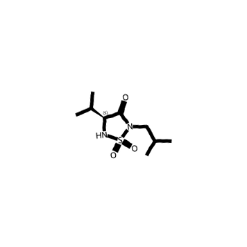 CC(C)CN1C(=O)[C@H](C(C)C)NS1(=O)=O